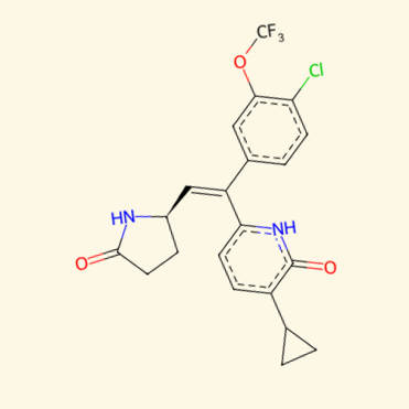 O=C1CC[C@H](/C=C(/c2ccc(Cl)c(OC(F)(F)F)c2)c2ccc(C3CC3)c(=O)[nH]2)N1